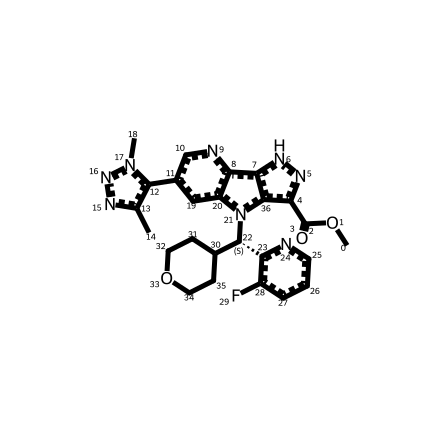 COC(=O)c1n[nH]c2c3ncc(-c4c(C)nnn4C)cc3n([C@H](c3ncccc3F)C3CCOCC3)c12